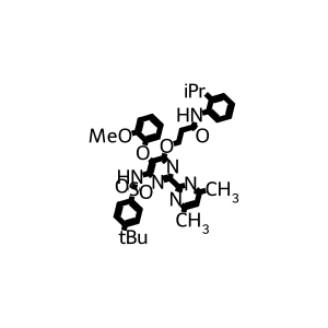 COc1ccccc1Oc1c(NS(=O)(=O)c2ccc(C(C)(C)C)cc2)nc(-c2nc(C)cc(C)n2)nc1OCCC(=O)Nc1ccccc1C(C)C